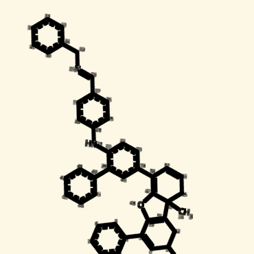 CC1C=C(c2ccccc2)C2=C(C1)C1(C)CC=CC(c3ccc(Nc4ccc(/C=N/Cc5ccccc5)cc4)c(-c4ccccc4)c3)=C1O2